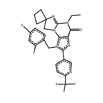 CCN1C(=O)c2nc(-c3ccc(C(C)(F)F)nc3)n(Cc3ccc(F)cc3F)c2N2CC3(CCC3)N=C12